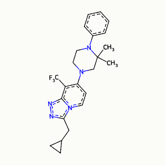 CC1(C)CN(c2ccn3c(CC4CC4)nnc3c2C(F)(F)F)CCN1c1ccccc1